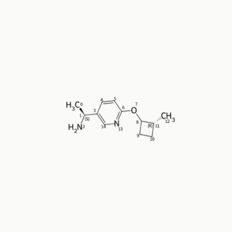 C[C@H](N)c1ccc(OC2CC[C@H]2C)nc1